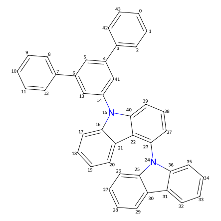 c1ccc(-c2cc(-c3ccccc3)cc(-n3c4ccccc4c4c(-n5c6ccccc6c6ccccc65)cccc43)c2)cc1